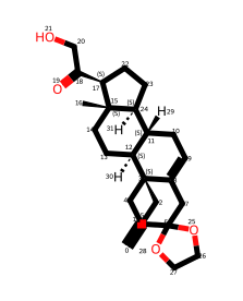 C#CC[C@]12CCC3(CC1=CC[C@@H]1[C@@H]2CC[C@]2(C)[C@@H](C(=O)CO)CC[C@@H]12)OCCO3